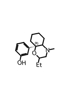 CCC1CN(C)C2CCCC[C@]2(c2cccc(O)c2)O1